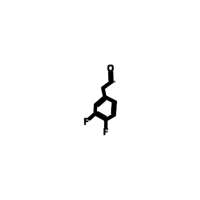 O=[C]Cc1ccc(F)c(F)c1